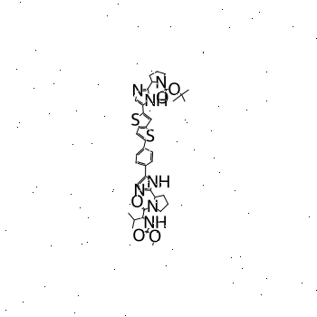 COC(=O)NC(C(=O)N1CCCC1c1ncc(-c2ccc(-c3cc4sc(-c5cnc(C6CCCN6C(=O)OC(C)(C)C)[nH]5)cc4s3)cc2)[nH]1)C(C)C